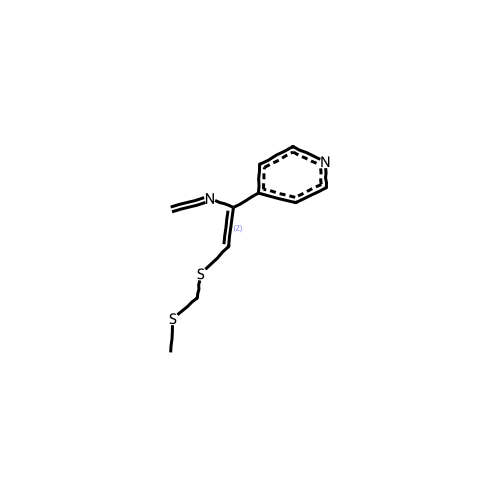 C=N/C(=C\SCSC)c1ccncc1